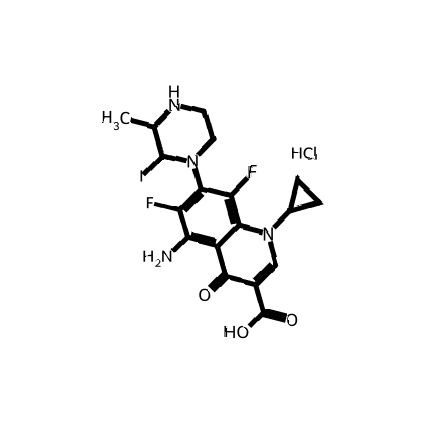 CC1NCCN(c2c(F)c(N)c3c(=O)c(C(=O)O)cn(C4CC4)c3c2F)C1I.Cl